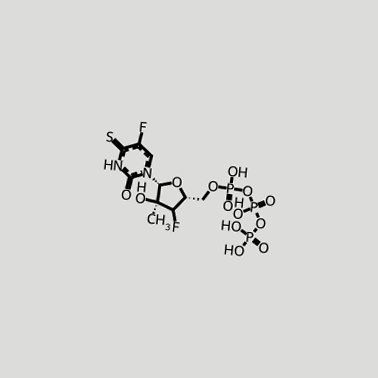 C[C@@]1(O)C(F)[C@@H](COP(=O)(O)OP(=O)(O)OP(=O)(O)O)O[C@H]1n1cc(F)c(=S)[nH]c1=O